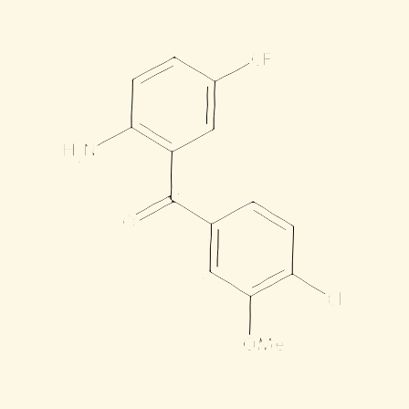 COc1cc(C(=O)c2cc(C(F)(F)F)ccc2N)ccc1Cl